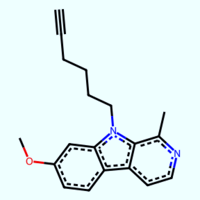 C#CCCCCn1c2cc(OC)ccc2c2ccnc(C)c21